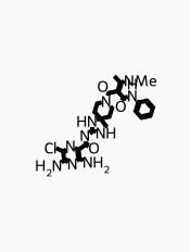 CN/C(C)=C(\C(=O)Nc1ccccc1)C(=O)N1CCC2(CC1)CN/C(=N\C(=O)c1nc(Cl)c(N)nc1N)N2